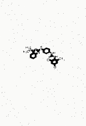 Cc1cc(Cl)cc(Cl)c1NC(=S)NC1CCC(Nc2nc(N(C)C)c3ccccc3n2)CC1